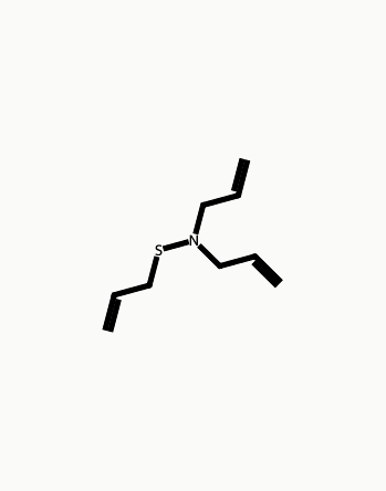 C=CCSN(CC=C)CC=C